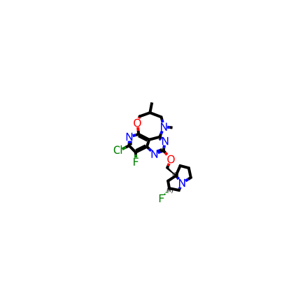 CC1COc2nc(Cl)c(F)c3nc(OC[C@@]45CCCN4C[C@H](F)C5)nc(c23)N(C)C1